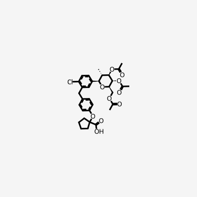 CC(=O)OC[C@H]1O[C@@H](c2ccc(Cl)c(Cc3ccc(OC4(C(=O)O)CCCC4)cc3)c2)[C@H](C)[C@@H](OC(C)=O)[C@@H]1OC(C)=O